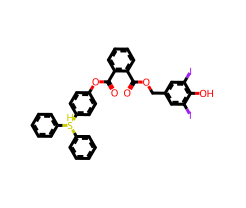 O=C(OCc1cc(I)c(O)c(I)c1)c1ccccc1C(=O)Oc1ccc([SH](c2ccccc2)c2ccccc2)cc1